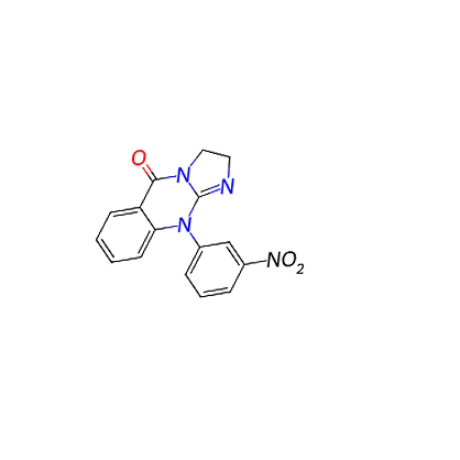 O=C1c2ccccc2N(c2cccc([N+](=O)[O-])c2)C2=NCCN12